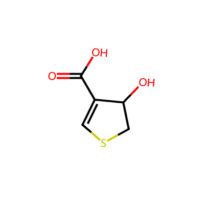 O=C(O)C1=CSCC1O